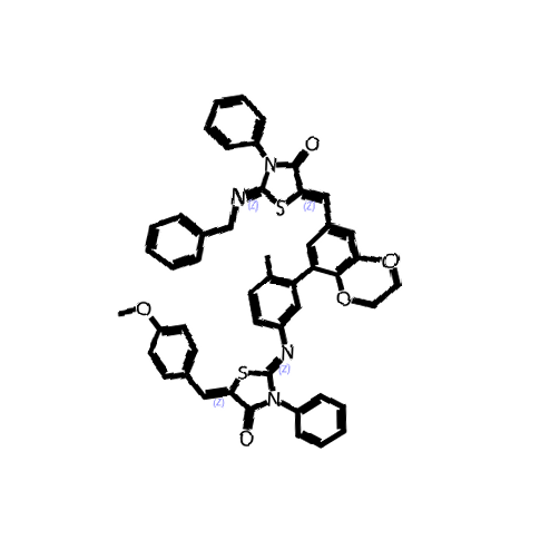 COc1ccc(/C=C2\S/C(=N\c3ccc(C)c(-c4cc(/C=C5\S/C(=N\Cc6ccccc6)N(c6ccccc6)C5=O)cc5c4OCCO5)c3)N(c3ccccc3)C2=O)cc1